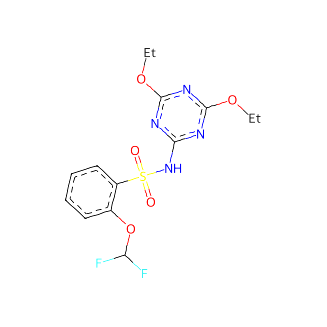 CCOc1nc(NS(=O)(=O)c2ccccc2OC(F)F)nc(OCC)n1